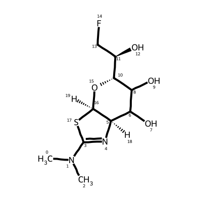 CN(C)C1=N[C@@H]2C(O)C(O)[C@@H]([C@H](O)CF)O[C@@H]2S1